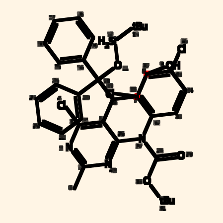 Cc1nc(Cl)c(C(CCO)C(O[SiH2]C(C)(C)C)(c2ccccc2)c2ccccc2)c(N(C(=O)OC(C)(C)C)c2ccc(Cl)cc2Cl)n1